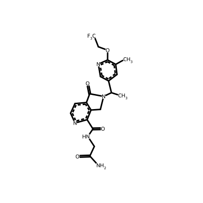 Cc1cc(C(C)N2Cc3c(ccnc3C(=O)NCC(N)=O)C2=O)cnc1OCC(F)(F)F